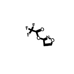 O=C(Oc1ccon1)C(F)(F)F